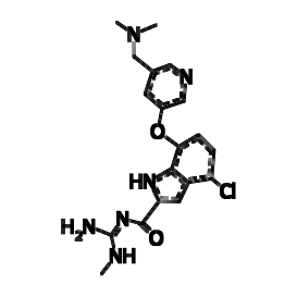 CNC(N)=NC(=O)c1cc2c(Cl)ccc(Oc3cncc(CN(C)C)c3)c2[nH]1